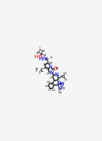 C[C@@H](NCC1(O)CCC1)c1cc(C(F)(F)F)c2cn(-c3cc(-c4ccccc4-c4nncn4C)cc(C4CC4)n3)c(=O)n2c1